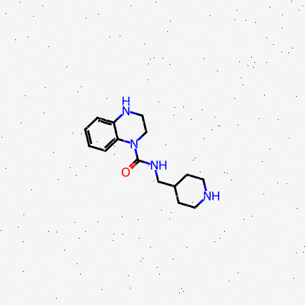 O=C(NCC1CCNCC1)N1CCNc2ccccc21